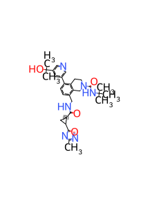 Cc1noc(C2C[C@H]2C(=O)NCc2ccc(-c3cncc(C(C)(C)O)c3)c3c2CN(C(=O)NC(C)(C)C)CC3)n1